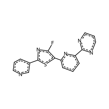 Fc1nc(-c2cccnc2)sc1-c1cccc(-c2ncccn2)n1